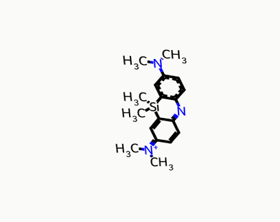 CN(C)c1ccc2c(c1)[Si](C)(C)C1=CC(=[N+](C)C)C=CC1=N2